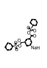 O=C(OS(=O)(=O)c1ccccc1)c1cccc(C(=O)OS(=O)(=O)c2ccccc2)c1.[NaH]